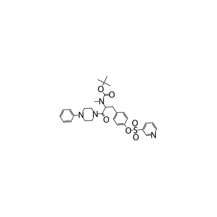 CN(C(=O)OC(C)(C)C)C(Cc1ccc(OS(=O)(=O)c2cccnc2)cc1)C(=O)N1CCN(c2ccccc2)CC1